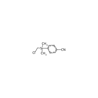 C[Si](C)(CCl)c1ccc(C#N)cc1